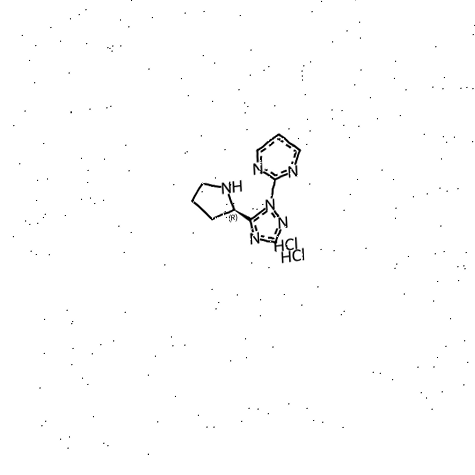 Cl.Cl.c1cnc(-n2ncnc2[C@H]2CCCN2)nc1